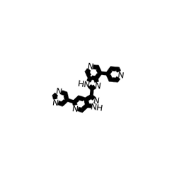 c1cc(-c2cncc3[nH]c(-c4n[nH]c5cnc(-c6cncnc6)cc45)nc23)ccn1